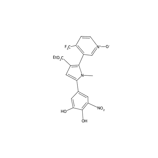 CCOC(=O)c1cc(-c2cc(O)c(O)c([N+](=O)[O-])c2)n(C)c1-c1c[n+]([O-])ccc1C(F)(F)F